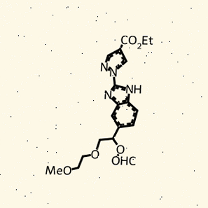 CCOC(=O)c1cnn(-c2nc3cc(C(COCCOC)OC=O)ccc3[nH]2)c1